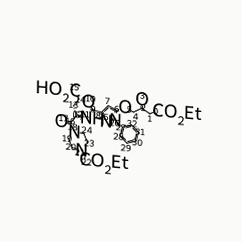 CCOC(=O)CC(=O)COc1cc(C(=O)N[C@@H](CCC(=O)O)C(=O)N2CCN(C(=O)OCC)CC2)nn1-c1ccccc1